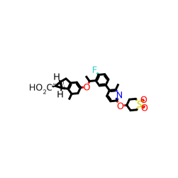 Cc1nc(OC2CCS(=O)(=O)CC2)ccc1-c1ccc(F)c(C(C)OC2=CC3=C(C(C)C2)[C@H]2[C@@H](C3)[C@@H]2C(=O)O)c1